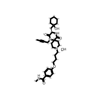 CC#CCN1C(=O)[C@@H](CC2(O)CCCCC2)NC(=O)C12CCN(CCCCOc1ccc(C(=O)NC)cc1)CC2.Cl